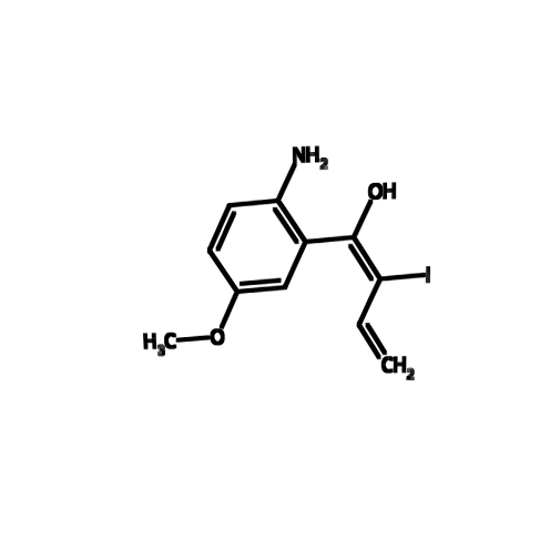 C=C/C(I)=C(/O)c1cc(OC)ccc1N